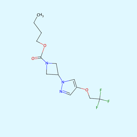 CCCCOC(=O)N1CC(n2cc(OCC(F)(F)F)cn2)C1